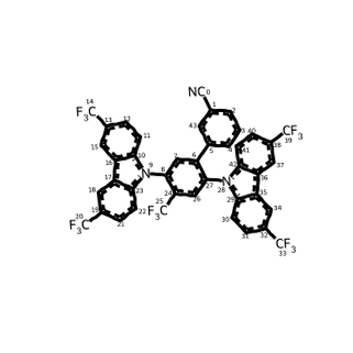 N#Cc1cccc(-c2cc(-n3c4ccc(C(F)(F)F)cc4c4cc(C(F)(F)F)ccc43)c(C(F)(F)F)cc2-n2c3ccc(C(F)(F)F)cc3c3cc(C(F)(F)F)ccc32)c1